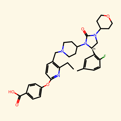 CCc1nc(Oc2ccc(C(=O)O)cc2)ccc1CN1CCC(N2C(=O)N(C3CCOCC3)C[C@H]2c2cc(C)ccc2F)CC1